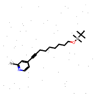 [2H]c1cc(C#CCCCCCCCO[Si](C)(C)C(C)(C)C)ccn1